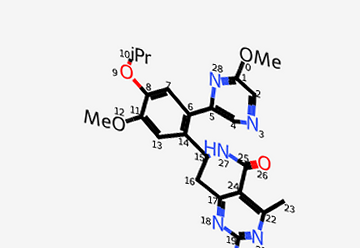 COc1cncc(-c2cc(OC(C)C)c(OC)cc2C2Cc3nc(N)nc(C)c3C(=O)N2)n1